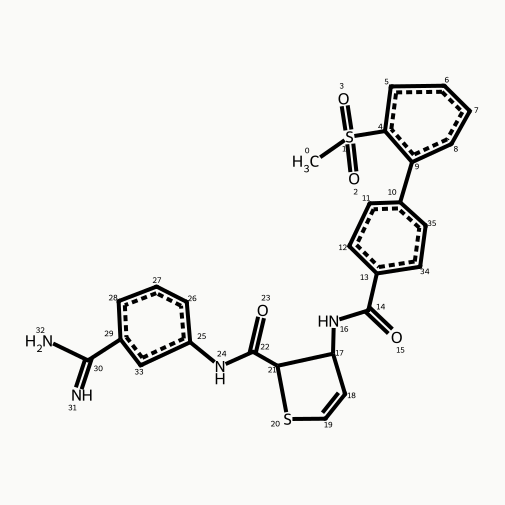 CS(=O)(=O)c1ccccc1-c1ccc(C(=O)NC2C=CSC2C(=O)Nc2cccc(C(=N)N)c2)cc1